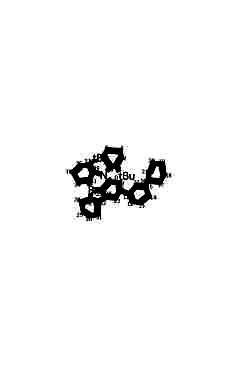 CC(C)(C)c1ccccc1N1c2cc(-c3cccc(-c4ccccc4)c3)cc3c2B(c2ccccc2-3)c2cccc(C(C)(C)C)c21